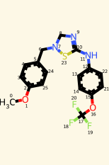 COc1ccc(CN2CN=C(Nc3ccc(OC(F)(F)F)cc3)S2)cc1